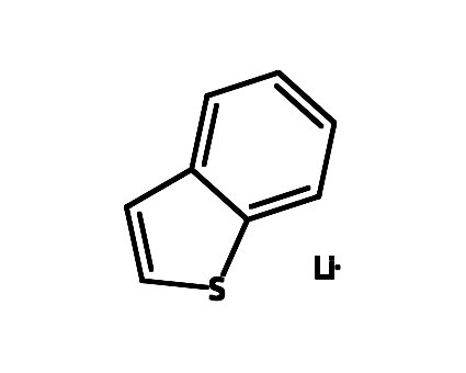 [Li].c1ccc2sccc2c1